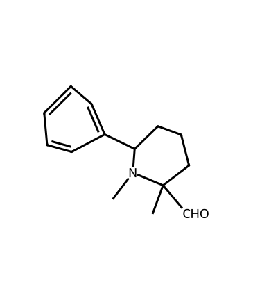 CN1C(c2ccccc2)CCCC1(C)C=O